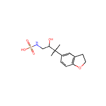 CC(C)(c1ccc2c(c1)CCO2)C(O)CNS(=O)(=O)O